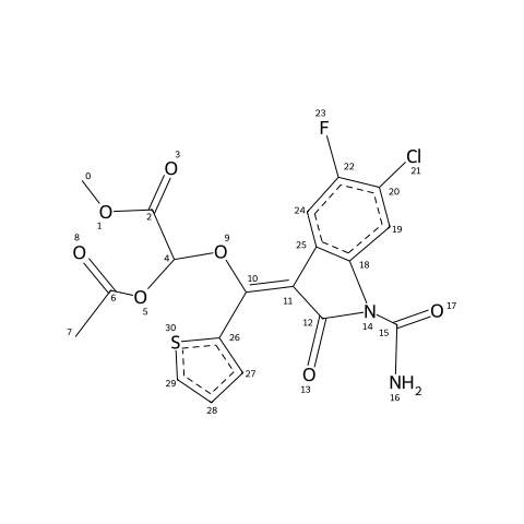 COC(=O)C(OC(C)=O)OC(=C1C(=O)N(C(N)=O)c2cc(Cl)c(F)cc21)c1cccs1